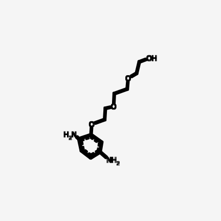 Nc1ccc(N)c(OCCOCCOCCO)c1